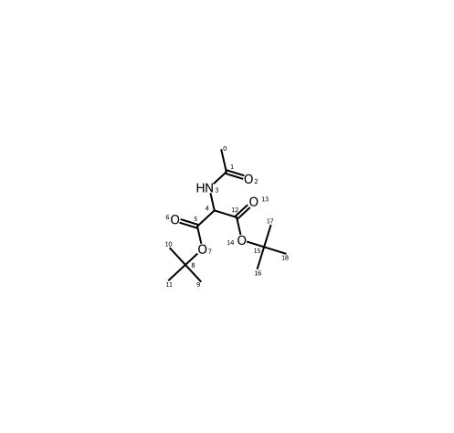 CC(=O)NC(C(=O)OC(C)(C)C)C(=O)OC(C)(C)C